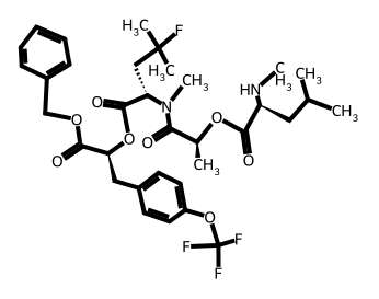 CN[C@@H](CC(C)C)C(=O)O[C@@H](C)C(=O)N(C)[C@@H](CC(C)(C)F)C(=O)O[C@@H](Cc1ccc(OC(F)(F)F)cc1)C(=O)OCc1ccccc1